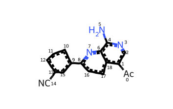 CC(=O)c1cnc(N)c2nc(-c3cccc(C#N)c3)ccc12